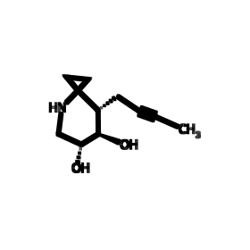 CC#CC[C@@H]1[C@@H](O)[C@H](O)CNC12CC2